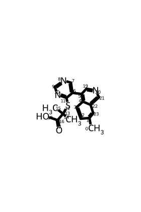 Cc1ccc2c(-c3cncnc3SC(C)(C)C(=O)O)cncc2c1